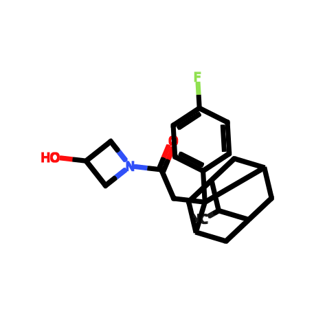 N#CC1C2CC3CC1CC(C2)C3(CC(=O)N1CC(O)C1)c1ccc(F)cc1